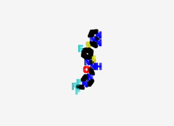 O=C(CN1CCN(CC(F)(F)F)CC1)Nc1nc2cc(F)c(Sc3cnc4ncccn34)cc2s1